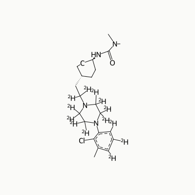 [2H]c1c([2H])c(C)c(Cl)c(N2C([2H])([2H])C([2H])([2H])N(C([2H])([2H])C[C@H]3CC[C@H](NC(=O)N(C)C)CC3)C([2H])([2H])C2([2H])[2H])c1[2H]